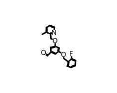 Cc1cccnc1COc1cc(C=O)cc(OCc2ccccc2F)c1